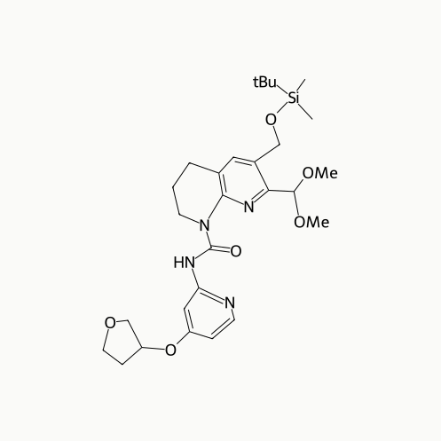 COC(OC)c1nc2c(cc1CO[Si](C)(C)C(C)(C)C)CCCN2C(=O)Nc1cc(OC2CCOC2)ccn1